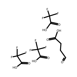 O=C(O)C(F)(F)F.O=C(O)C(F)(F)F.O=C(O)C(F)(F)F.O=CCCC(=O)O